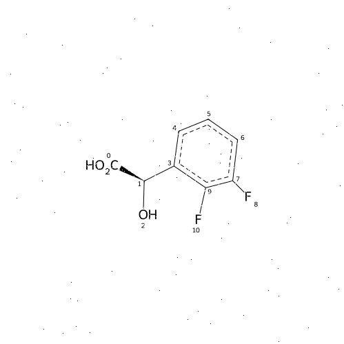 O=C(O)[C@H](O)c1cccc(F)c1F